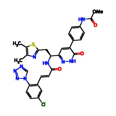 COC(=O)Nc1ccc(-c2cc([C@H](Cc3nc(C)c(C)s3)NC(=O)/C=C/c3cc(Cl)ccc3-n3cnnn3)n[nH]c2=O)cc1